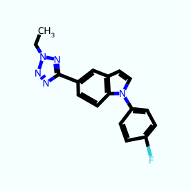 CCn1nnc(-c2ccc3c(ccn3-c3ccc(F)cc3)c2)n1